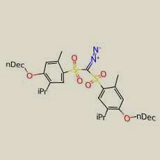 CCCCCCCCCCOc1cc(C)c(S(=O)(=O)C(=[N+]=[N-])S(=O)(=O)c2cc(C(C)C)c(OCCCCCCCCCC)cc2C)cc1C(C)C